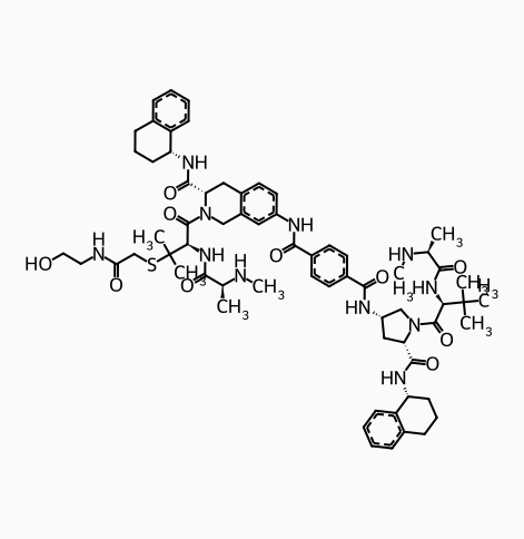 CN[C@@H](C)C(=O)N[C@H](C(=O)N1C[C@@H](NC(=O)c2ccc(C(=O)Nc3ccc4c(c3)CN(C(=O)[C@@H](NC(=O)[C@H](C)NC)C(C)(C)SCC(=O)NCCO)[C@H](C(=O)N[C@@H]3CCCc5ccccc53)C4)cc2)C[C@H]1C(=O)N[C@@H]1CCCc2ccccc21)C(C)(C)C